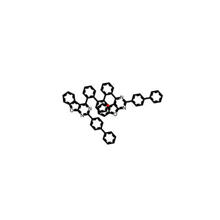 c1ccc(-c2ccc(-c3nc(-c4ccccc4-c4ccccc4-c4ccccc4-c4nc(-c5ccc(-c6ccccc6)cc5)nc5oc6ccccc6c45)c4c(n3)oc3ccccc34)cc2)cc1